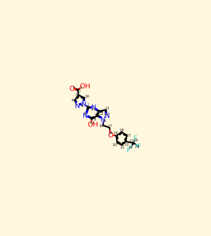 O=C(O)c1cnn(-c2nc(O)c3c(cnn3CCOc3ccc(C(F)(F)F)cc3)n2)c1